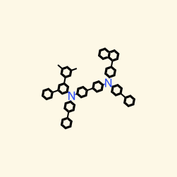 Cc1cc(C)cc(-c2cc(-c3ccccc3)cc(N(c3ccc(-c4ccccc4)cc3)c3ccc(-c4ccc(N(c5ccc(-c6ccccc6)cc5)c5ccc(-c6cccc7ccccc67)cc5)cc4)cc3)c2)c1